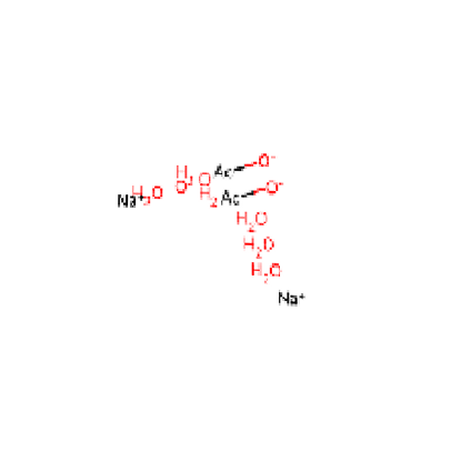 CC(=O)[O-].CC(=O)[O-].O.O.O.O.O.O.[Na+].[Na+]